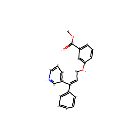 COC(=O)c1cccc(OC/C=C(/c2ccccc2)c2cccnc2)c1